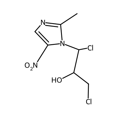 Cc1ncc([N+](=O)[O-])n1C(Cl)C(O)CCl